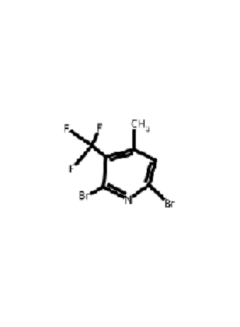 Cc1cc(Br)nc(Br)c1C(F)(F)F